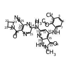 COc1c(Cl)cccc1Nc1cc(Nc2cnc(C(=O)N3CCC3)c(C#N)n2)nc2[nH]n(C)c(=O)c12